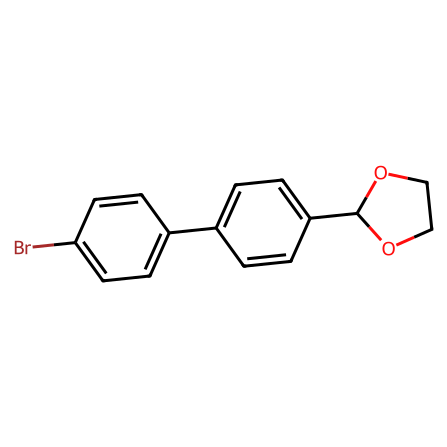 Brc1ccc(-c2ccc(C3OCCO3)cc2)cc1